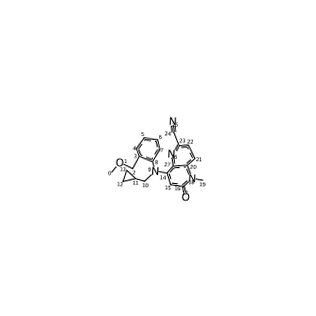 COCc1ccccc1N(CC1CC1)c1cc(=O)n(C)c2ccc(C#N)nc12